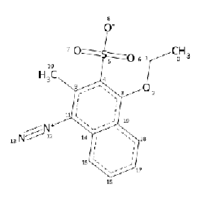 CCOc1c(S(=O)(=O)[O-])c(C)c([N+]#N)c2ccccc12